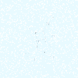 CC1(C)S[C@@H]2C(=[N+]=[N-])C(=O)N2[C@H]1C(=O)O